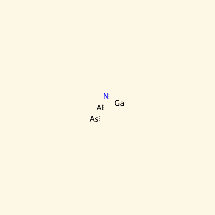 [Al].[As].[Ga].[N]